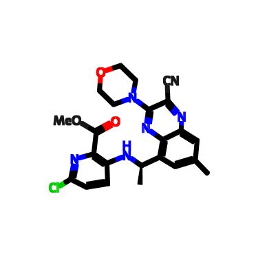 COC(=O)c1nc(Cl)ccc1N[C@H](C)c1cc(C)cc2nc(C#N)c(N3CCOCC3)nc12